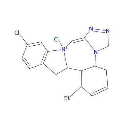 CCC1C=CCC2C1C1Cc3ccc(Cl)cc3[N+]1(Cl)C=C1N=NCN12